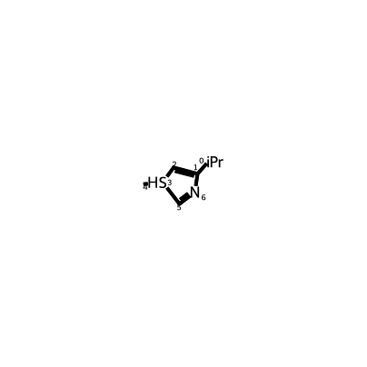 CC(C)C1=C[SH](C)C=N1